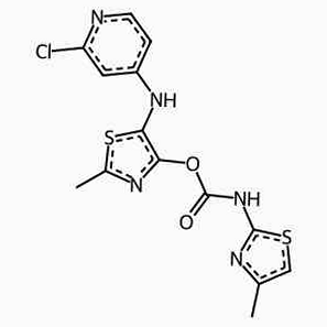 Cc1csc(NC(=O)Oc2nc(C)sc2Nc2ccnc(Cl)c2)n1